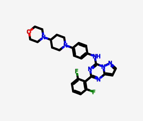 Fc1cccc(F)c1-c1nc(Nc2ccc(N3CCC(N4CCOCC4)CC3)cc2)n2nccc2n1